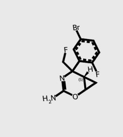 NC1=NC(CF)(c2cc(Br)ccc2F)[C@@H]2CC2O1